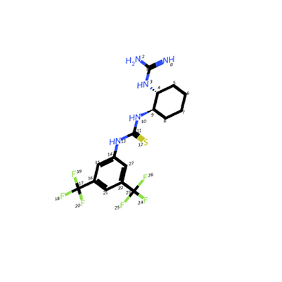 N=C(N)N[C@@H]1CCCC[C@H]1NC(=S)Nc1cc(C(F)(F)F)cc(C(F)(F)F)c1